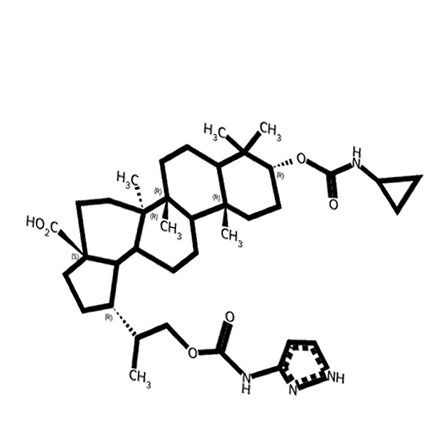 CC(COC(=O)Nc1cc[nH]n1)[C@@H]1CC[C@]2(C(=O)O)CC[C@]3(C)C(CCC4[C@@]5(C)CC[C@@H](OC(=O)NC6CC6)C(C)(C)C5CC[C@]43C)C12